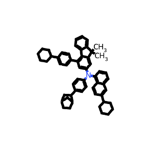 CC1(C)c2ccccc2-c2c(-c3ccc(C4CCCCC4)cc3)cc(N(c3ccc(C4CC5CCC4C5)cc3)c3cccc4cc(C5CCCCC5)ccc34)cc21